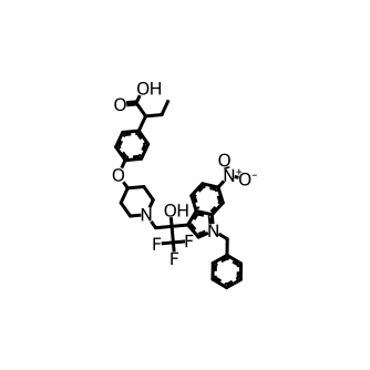 CCC(C(=O)O)c1ccc(OC2CCN(CC(O)(c3cn(Cc4ccccc4)c4cc([N+](=O)[O-])ccc34)C(F)(F)F)CC2)cc1